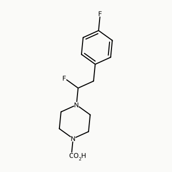 O=C(O)N1CCN(C(F)Cc2ccc(F)cc2)CC1